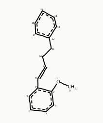 COc1ccccc1/C=C/CCc1ccccc1